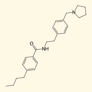 CCCCc1ccc(C(=O)NCCc2ccc(CN3CCCC3)cc2)cc1